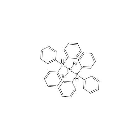 [Br][Pt]([Br])([PH](c1ccccc1)(c1ccccc1)c1ccccc1)[PH](c1ccccc1)(c1ccccc1)c1ccccc1